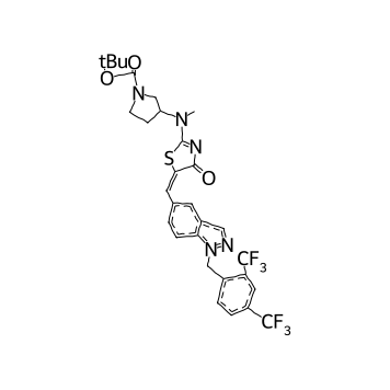 CN(C1=NC(=O)C(=Cc2ccc3c(cnn3Cc3ccc(C(F)(F)F)cc3C(F)(F)F)c2)S1)C1CCN(C(=O)OC(C)(C)C)C1